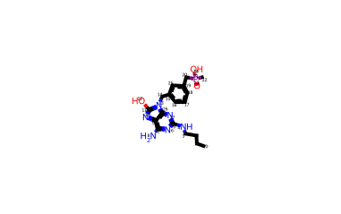 CCCCNc1nc(N)c2nc(O)n(Cc3cccc(CP(C)(=O)O)c3)c2n1